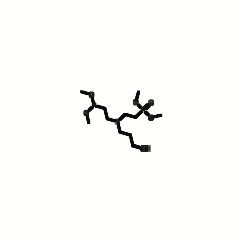 COP(CCN(CCCO)CCP(=O)(OC)OC)OC